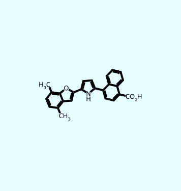 Cc1ccc(C)c2oc(-c3ccc(-c4ccc(C(=O)O)c5ccccc45)[nH]3)cc12